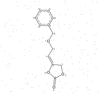 O=C1OCC(=CCOCc2ccccc2)O1